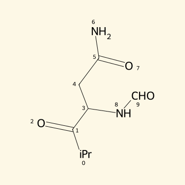 CC(C)C(=O)C(CC(N)=O)NC=O